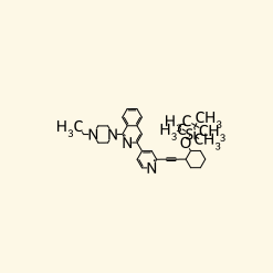 CCN1CCN(c2nc(-c3ccnc(C#CC4CCCCC4O[Si](C)(C)C(C)(C)C)c3)cc3ccccc23)CC1